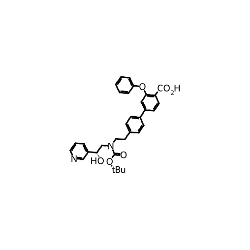 CC(C)(C)OC(=O)N(CCc1ccc(-c2ccc(C(=O)O)c(Oc3ccccc3)c2)cc1)C[C@H](O)c1cccnc1